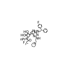 CCCN(C(=O)C(F)(F)F)[C@H]1C[C@@H](n2cnc3c(NCC(c4ccccc4)c4ccc(F)cc4)nc(NCCN4CCCCC4)nc32)[C@H](O)[C@@H]1O